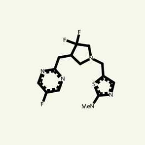 CNc1ncc(CN2CC(Cc3ncc(F)cn3)C(F)(F)C2)s1